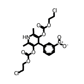 CC1=C(OC(=O)OCCCl)C(c2cccc([N+](=O)[O-])c2)C(OC(=O)OCCCl)=C(C)N1